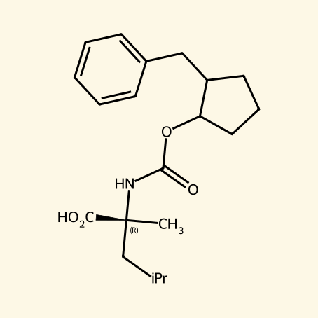 CC(C)C[C@@](C)(NC(=O)OC1CCCC1Cc1ccccc1)C(=O)O